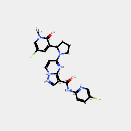 Cn1cc(F)cc(C2CCCN2c2ccn3ncc(C(=O)Nc4ccc(F)cn4)c3n2)c1=O